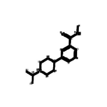 CNC(=O)c1cccc(C2CCN(C(C)C)CC2)c1